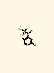 CN(c1cc(Cl)ncc1I)S(C)(=O)=O